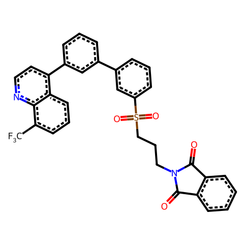 O=C1c2ccccc2C(=O)N1CCCS(=O)(=O)c1cccc(-c2cccc(-c3ccnc4c(C(F)(F)F)cccc34)c2)c1